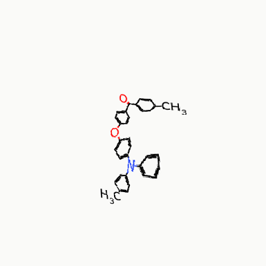 Cc1ccc(N(c2ccccc2)c2ccc(Oc3ccc(C(=O)C4=CCC(C)C=C4)cc3)cc2)cc1